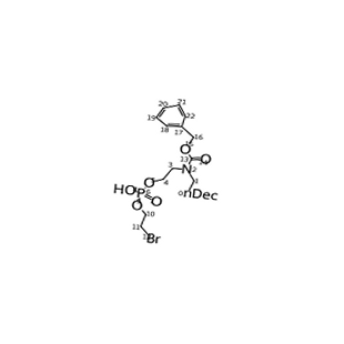 CCCCCCCCCCCN(CCOP(=O)(O)OCCBr)C(=O)OCc1ccccc1